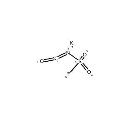 O=C=NS(=O)(=O)F.[K]